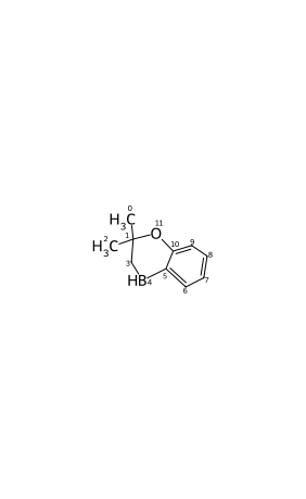 CC1(C)CBc2ccccc2O1